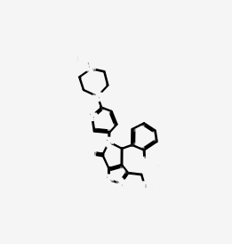 Cc1ccccc1C1c2c(CC(C)C)n[nH]c2C(=O)N1c1ccc(N2CCN(C)CC2)nc1